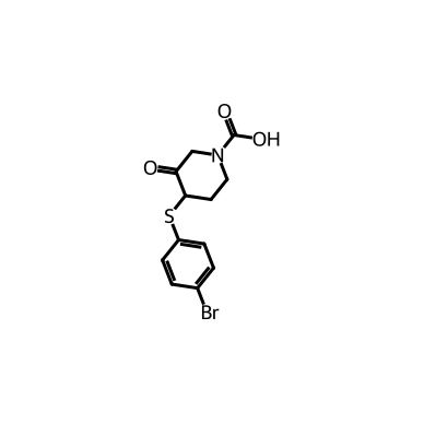 O=C1CN(C(=O)O)CCC1Sc1ccc(Br)cc1